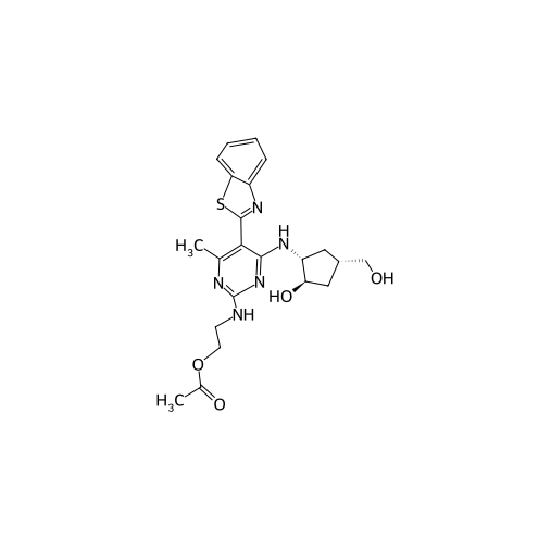 CC(=O)OCCNc1nc(C)c(-c2nc3ccccc3s2)c(N[C@@H]2C[C@H](CO)C[C@H]2O)n1